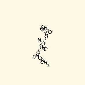 [C-]#[N+]c1c(/C=C/c2ccc(N(c3ccccc3)c3ccc(OC)cc3)cc2)ccc2c(C#N)c(/C=C/c3ccc(N(c4ccccc4)c4ccc(OC)cc4)cc3)ccc12